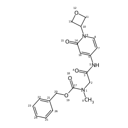 CN(CC(=O)Nc1ccn(C2COC2)c(=O)c1)C(=O)OCc1ccccc1